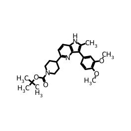 COc1ccc(-c2c(C)[nH]c3ccc(C4CCN(C(=O)OC(C)(C)C)CC4)nc23)cc1OC